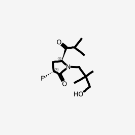 CC(C)C(=O)[C@@H]1C[C@@H](F)C(=O)N1CC(C)(C)CO